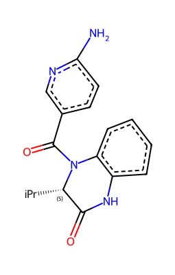 CC(C)[C@H]1C(=O)Nc2ccccc2N1C(=O)c1ccc(N)nc1